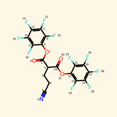 N#CCCC(C(=O)Oc1c(F)c(F)c(F)c(F)c1F)C(=O)Oc1c(F)c(F)c(F)c(F)c1F